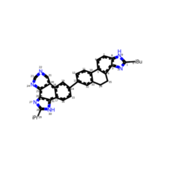 CCC(C)c1nc2c3c(ccc2[nH]1)-c1ccc(-c2ccc4c(c2)c2cncnc2c2nc(C(C)C)[nH]c42)cc1CC3